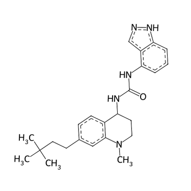 CN1CCC(NC(=O)Nc2cccc3[nH]ncc23)c2ccc(CCC(C)(C)C)cc21